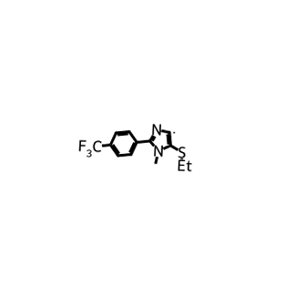 CCSc1[c]nc(-c2ccc(C(F)(F)F)cc2)n1C